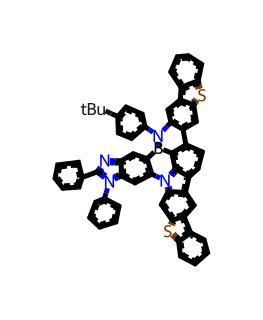 CC(C)(C)c1ccc(N2B3c4cc5nc(-c6ccccc6)n(-c6ccccc6)c5cc4-n4c5cc6sc7ccccc7c6cc5c5ccc(c3c54)-c3cc4sc5ccccc5c4cc32)cc1